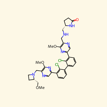 COC[C@@H]1CCN1Cc1ncc(-c2cccc(-c3cccc(-c4cnc(CNC[C@@H]5CCC(=O)N5)c(OC)n4)c3Cl)c2Cl)nc1OC